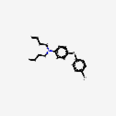 CCCCN(CCCC)c1cc[c]([Al][c]2cc[c]([Al])cc2)cc1